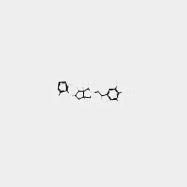 Oc1c(F)cc([C@@H](O)CN2C[C@@H]3C[C@@H](Oc4ccccc4F)[C@@H](O)[C@]3(O)C2)cc1F